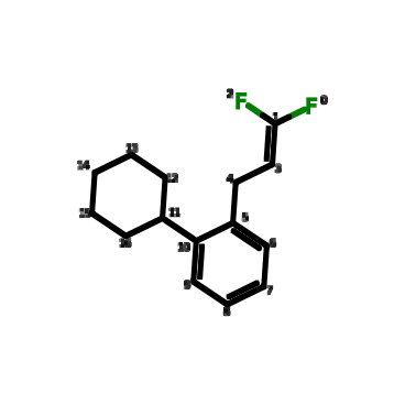 FC(F)=CCc1ccccc1C1CCCCC1